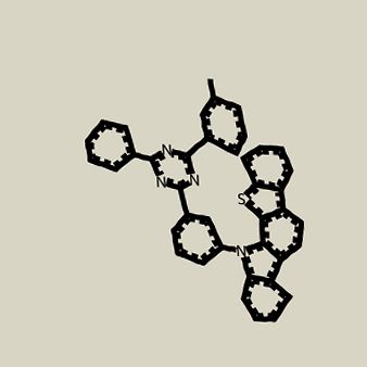 Cc1cccc(-c2nc(-c3ccccc3)nc(-c3cccc(-n4c5ccccc5c5ccc6c7ccccc7sc6c54)c3)n2)c1